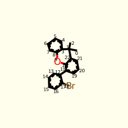 CC1(C)c2ccccc2Oc2c(-c3ccccc3Br)cccc21